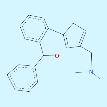 CN(C)CC1=CCC(c2ccccc2C([O])c2ccccc2)=C1